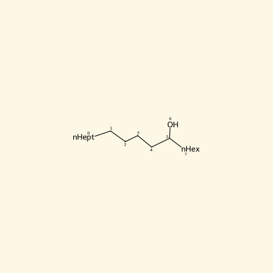 CCCCCCCCCCCC(O)CCCCCC